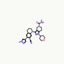 CNC(=O)N1CCc2c(c(N3CCCc4cc(-c5cnn(C)c5)c(C#N)cc43)nn2C2CCOCC2)C1